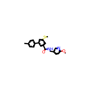 COc1ccc(CNC(=O)c2cc(SC)cc(-c3ccc(C)cc3)c2)cn1